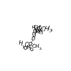 C=CC(=O)OC(COC(=O)C(=C)C)COc1ccc(-c2cc(C)c(N(c3ccccc3)c3ccccc3)c(CC)c2)cc1